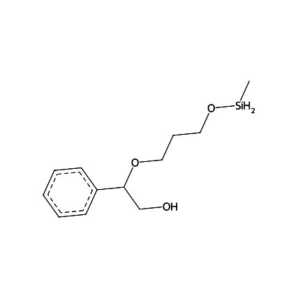 C[SiH2]OCCCOC(CO)c1ccccc1